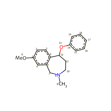 COc1ccc2c(c1)CN(C)CCC2Oc1ccccc1